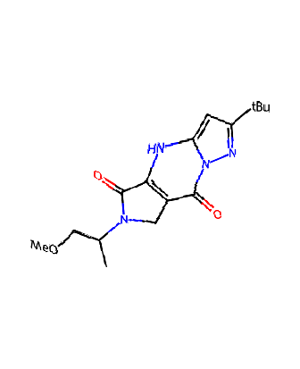 COCC(C)N1Cc2c([nH]c3cc(C(C)(C)C)nn3c2=O)C1=O